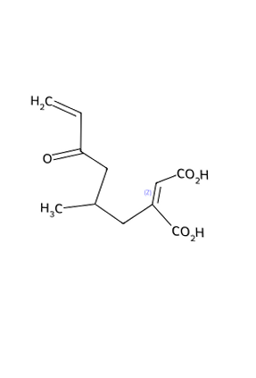 C=CC(=O)CC(C)C/C(=C/C(=O)O)C(=O)O